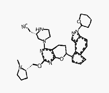 CN1CCC[C@H]1COc1nc2c(c(N3CCN[C@@H](CC#N)C3)n1)CCC(c1cccc3ccc4c(cnn4C4CCCCO4)c13)O2